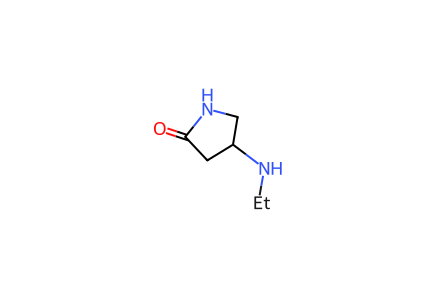 CCNC1CNC(=O)C1